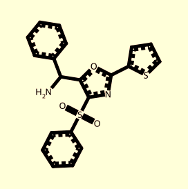 NC(c1ccccc1)c1oc(-c2cccs2)nc1S(=O)(=O)c1ccccc1